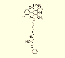 COC(=O)C1=C(C(F)(F)F)NC(C)=C(C(=O)OCCCCCCNCC(O)COc2ccccc2)C1c1cccc(Cl)c1